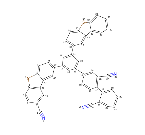 N#Cc1ccc2sc3ccc(-c4cc(-c5ccc(-c6ccccc6C#N)c(C#N)c5)cc(-c5ccc6sc7ccccc7c6c5)c4)cc3c2c1